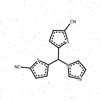 N#Cc1ccc(C(c2ccc(C#N)s2)n2ccnc2)s1